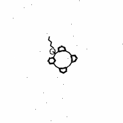 CCCCCOC1c2cccc(c2)Cc2cccc(c2)Cc2cccc(c2)Cc2cccc1c2